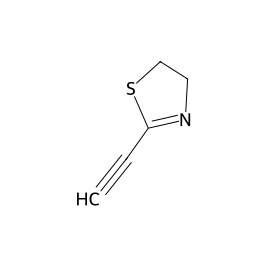 C#CC1=NCCS1